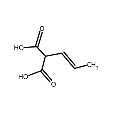 C/C=C/C(C(=O)O)C(=O)O